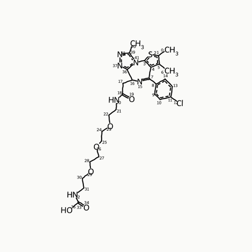 Cc1sc2c(c1C)C(c1ccc(Cl)cc1)=NC(CC(=O)NCCOCCOCCOCCNC(=O)O)c1nnc(C)n1-2